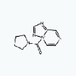 O=C(N1CCCC1)[N+]12C=CN=CC1=NC=N2